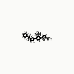 CC(C)c1ccc(-c2ccc(-c3ccc(C(C)(C)c4ccccc4)s3)c3nsnc23)s1